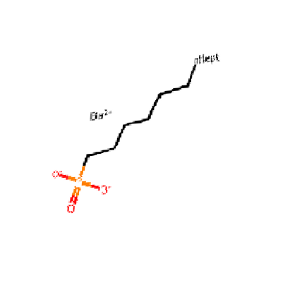 CCCCCCCCCCCCCP(=O)([O-])[O-].[Ba+2]